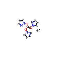 [Ag].c1cnn(OB(On2cccn2)On2cccn2)c1